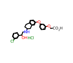 Cl.O=C(O)COc1cccc(Oc2ccc3c(c2)CC(NCC(O)c2cccc(Cl)c2)CC3)c1